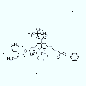 C/C=C\C/C(=C\C)COC(=O)CCCC(CCCCCC(=O)OCc1ccccc1)(C(=O)OC(C)(C)C)C(=O)OC(C)(C)C